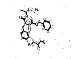 C[C@H](NC(=O)[C@H](Cc1ccccc1)NC(=O)OCc1ccccc1)C(=O)O.O=C(CBr)CBr